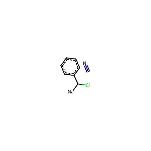 C#N.[Na][CH](Cl)c1ccccc1